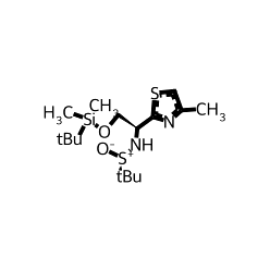 Cc1csc([C@H](CO[Si](C)(C)C(C)(C)C)N[S@@+]([O-])C(C)(C)C)n1